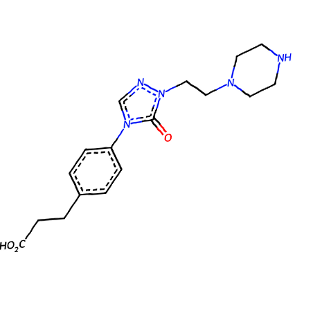 O=C(O)CCc1ccc(-n2cnn(CCN3CCNCC3)c2=O)cc1